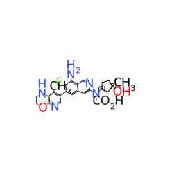 Cc1c(-c2cc3cc(N(C(=O)O)[C@@H]4CC[C@@](C)(O)C4)ncc3c(N)c2F)cnc2c1NCCO2